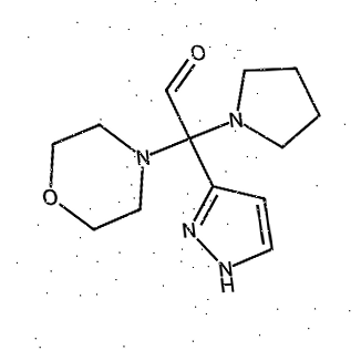 O=CC(c1cc[nH]n1)(N1CCCC1)N1CCOCC1